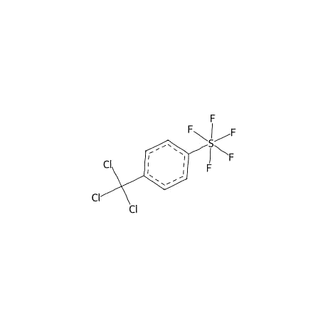 FS(F)(F)(F)(F)c1ccc(C(Cl)(Cl)Cl)cc1